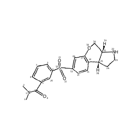 CN(C)C(=O)c1cccc(S(=O)(=O)c2ccc3c(c2)OC[C@@H]2NCC[C@H]32)c1